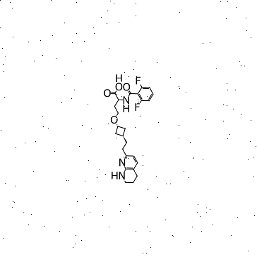 O=C(NC(CCO[C@H]1C[C@H](CCc2ccc3c(n2)NCCC3)C1)C(=O)O)c1c(F)cccc1F